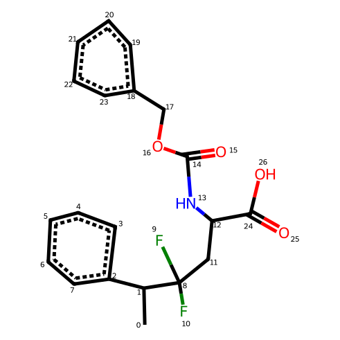 CC(c1ccccc1)C(F)(F)CC(NC(=O)OCc1ccccc1)C(=O)O